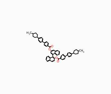 CC1CCC(c2ccc(-c3ccc(C(=O)Oc4cc(-c5c(OC(=O)c6ccc(-c7ccc(C8CCC(C)CC8)cc7)cc6)ccc6ccccc56)c5ccccc5c4)cc3)cc2)CC1